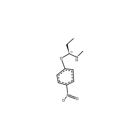 [CH2]C[C@@H](NC)Oc1ccc([N+](=O)[O-])cc1